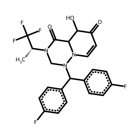 C[C@@H](N1CN(C(c2ccc(F)cc2)c2ccc(F)cc2)N2C=CC(=O)C(O)C2C1=O)C(F)(F)F